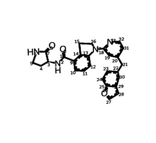 O=C(N[C@H]1CCNC1=O)c1cccc2c1CCN2c1cc(Cc2ccc3occc3c2)ccn1